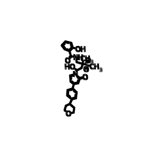 CC(CNC(=O)c1ccccc1O)(CC(O)n1ccc(-c2ccc(C3CCOCC3)cc2)cc1=O)S(C)(=O)=O